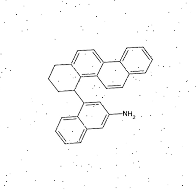 Nc1cc(C2CCCc3ccc4c(ccc5ccccc54)c32)c2ccccc2c1